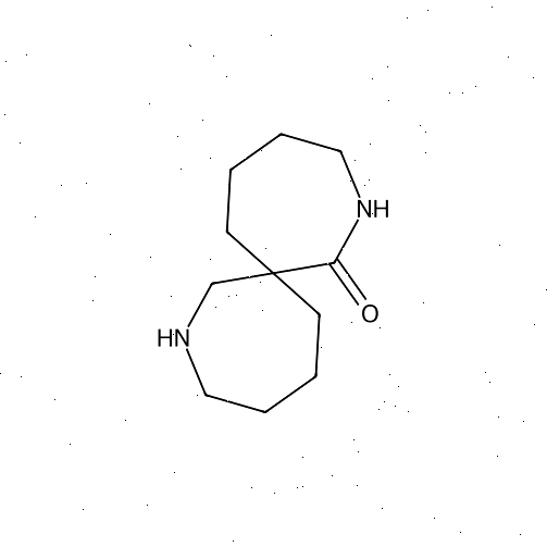 O=C1NCCCCC12CCCCNC2